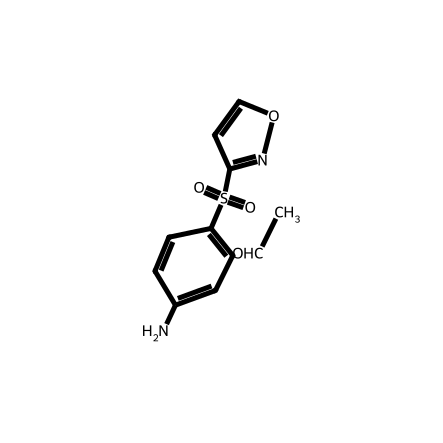 CC=O.Nc1ccc(S(=O)(=O)c2ccon2)cc1